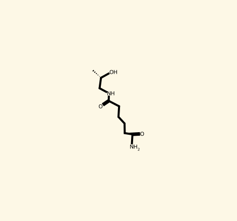 C[C@H](O)CNC(=O)CCCCC(N)=O